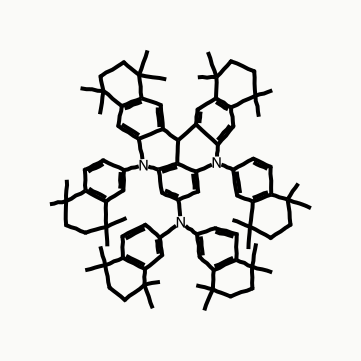 CC1(C)CCC(C)(C)c2cc(N(c3cc4c5c(c3)N(c3ccc6c(c3)C(C)(C)CCC6(C)C)c3cc6c(cc3C5c3cc5c(cc3N4c3ccc4c(c3)C(C)(C)CCC4(C)C)C(C)(C)CCC5(C)C)C(C)(C)CCC6(C)C)c3ccc4c(c3)C(C)(C)CCC4(C)C)ccc21